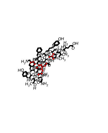 CC[C@H](C)[C@H](NC(=O)[C@@H](N)CCC(=O)O)C(=O)N[C@@H](Cc1ccc(O)cc1)C(=O)N1CCC[C@H]1C(=O)NCC(=O)N[C@@H](CO)C(=O)NCC(=O)N[C@@H](CC(N)=O)C(=O)N[C@H](C(=O)N[C@@H](Cc1ccc(O)cc1)C(=O)N[C@@H](Cc1ccc(O)cc1)C(=O)N[C@@H](CC(N)=O)C(=O)N[C@@H](CCC(=O)O)C(=O)N[C@@H](CCCCN)C(=O)N[C@@H](Cc1ccccc1)C(=O)N[C@@H](CCCCN)C(=O)NCC(=O)O)[C@@H](C)O